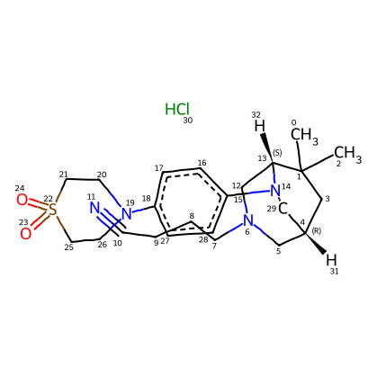 CC1(C)C[C@@H]2CN(CCCC#N)C[C@H]1N(c1ccc(N3CCS(=O)(=O)CC3)cc1)C2.Cl